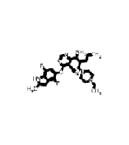 C=C/C=C(/CN1CCN(CC)CC1)C(N)c1ncnc(Oc2cc(F)c3[nH]c(C)cc3c2F)c1C#N